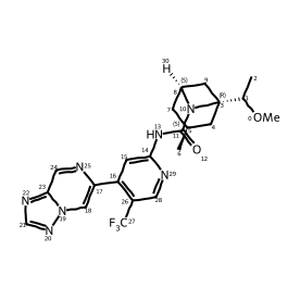 COC(C)[C@@]12C[C@@H](C)C[C@@H](C1)N2C(=O)Nc1cc(-c2cn3ncnc3cn2)c(C(F)(F)F)cn1